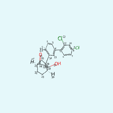 CCc1ccc(-c2ccc(Cl)cc2Cl)cc1C1=C(O)[C@H]2CC[C@H](CC2)C1=O